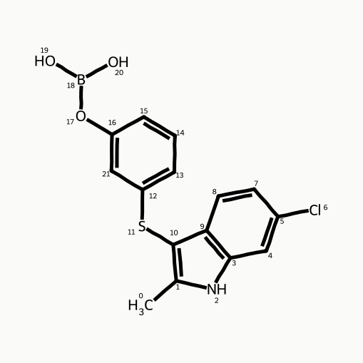 Cc1[nH]c2cc(Cl)ccc2c1Sc1cccc(OB(O)O)c1